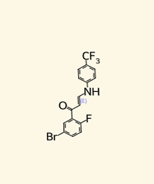 O=C(/C=C/Nc1ccc(C(F)(F)F)cc1)c1cc(Br)ccc1F